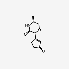 C=C1COC(C2=CC(=O)CC2)C(=O)N1